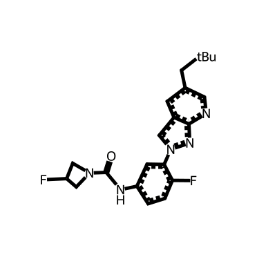 CC(C)(C)Cc1cnc2nn(-c3cc(NC(=O)N4CC(F)C4)ccc3F)cc2c1